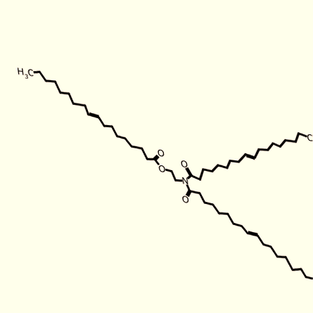 CCCCCCCCC=CCCCCCCCC(=O)OCCN(C(=O)CCCCCCCC=CCCCCCCCC)C(=O)CCCCCCCC=CCCCCCCCC